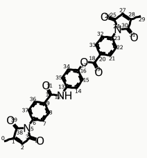 CC1=CC(=O)N(c2ccc(C(=O)Nc3ccc(OC(=O)c4ccc(N5C(=O)C=C(C)C5=O)cc4)cc3)cc2)C1=O